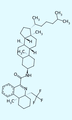 CC(C)CCCC(C)[C@H]1CC[C@H]2[C@@H]3CCC4C[C@H](NC(=O)C5=N[C@@]6(CC(F)(F)F)CCCC[C@@]6(C)c6ccccc65)CC[C@]4(C)[C@H]3CC[C@]12C